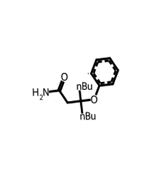 CCCCC(CCCC)(CC(N)=O)Oc1[c]cccc1